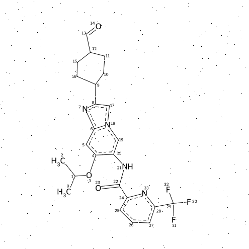 CC(C)Oc1cc2nc(C3CCC(C=O)CC3)cn2cc1NC(=O)c1cccc(C(F)(F)F)n1